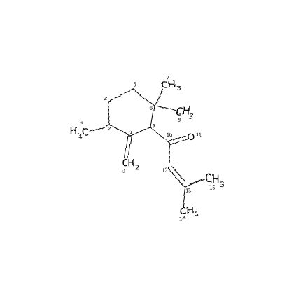 C=C1C(C)CCC(C)(C)C1C(=O)C=C(C)C